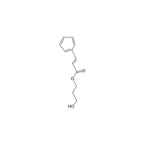 O=C(C=Cc1ccccc1)OCCCO